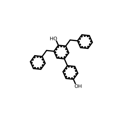 Oc1ccc(-c2cc(Cc3ccccc3)c(O)c(Cc3ccccc3)c2)cc1